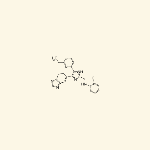 CCc1cccc(-c2[nH]c(CNc3ccccc3F)nc2C2=Cn3ncnc3CC2)n1